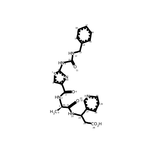 C[C@@H](NC(=O)c1csc(NC(=O)NCc2ccccc2)n1)C(=O)NC(CC(=O)O)c1cccnc1